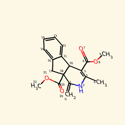 C=C1NC(C)=C(C(=O)OC)C2c3ccccc3CC12C(=O)OC